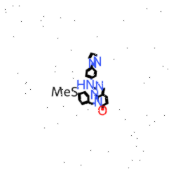 CSc1ccc(Cn2c(=O)ccc3cnc(Nc4ccc(-n5cccn5)cc4)nc32)cc1